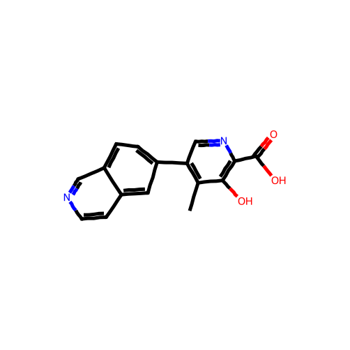 Cc1c(-c2ccc3cnccc3c2)cnc(C(=O)O)c1O